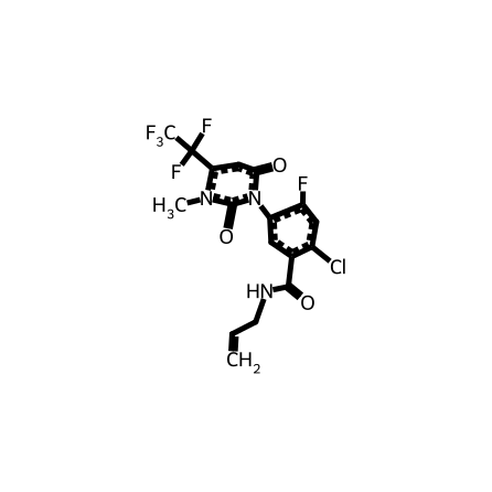 C=CCNC(=O)c1cc(-n2c(=O)cc(C(F)(F)C(F)(F)F)n(C)c2=O)c(F)cc1Cl